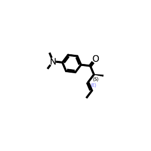 C/C=C/[C@H](C)C(=O)c1ccc(N(C)C)cc1